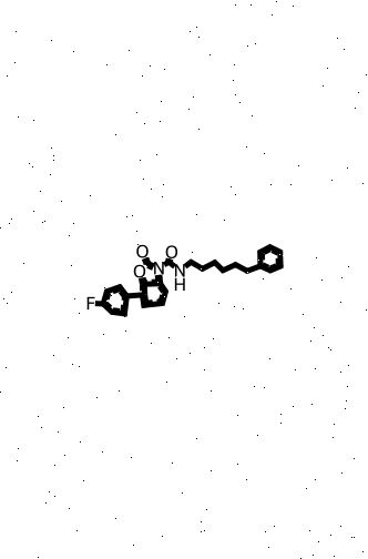 O=C(NCCCCCCc1ccccc1)n1c(=O)oc2c(-c3ccc(F)cc3)cccc21